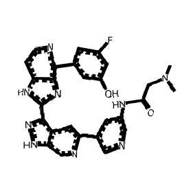 CN(C)CC(=O)Nc1cncc(-c2cc3c(-c4nc5c(-c6cc(O)cc(F)c6)nccc5[nH]4)n[nH]c3cn2)c1